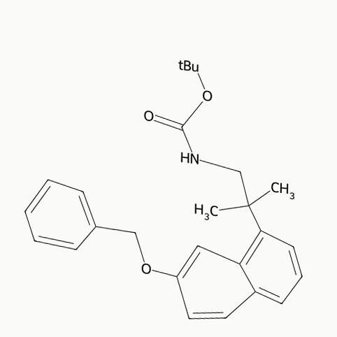 CC(C)(C)OC(=O)NCC(C)(C)c1cccc2ccc(OCc3ccccc3)cc12